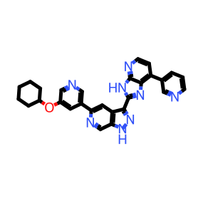 c1cncc(-c2ccnc3[nH]c(-c4n[nH]c5cnc(-c6cncc(OC7CCCCC7)c6)cc45)nc23)c1